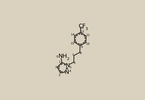 Nc1ccnn1CCCc1ccc(C(F)(F)F)cc1